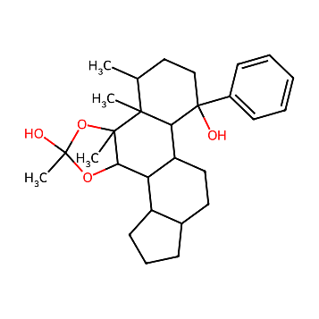 CC1CCC(O)(c2ccccc2)C2C3CCC4CCCC4C3C3OC(C)(O)OC3(C)C12C